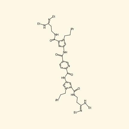 CC/N=C(\CCNC(=O)c1cc(NC(=O)c2ccc(C(=O)Nc3cc(C(=O)NCC/C(=N\CC)NCC)n(CCC(C)C)c3)nc2)cn1CCC(C)C)NCC